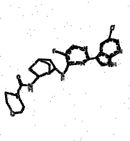 O=C(NC1CC2CC(Nc3nc(-c4c[nH]c5ncc(Cl)cc45)ncc3F)C1C2)N1CCOCC1